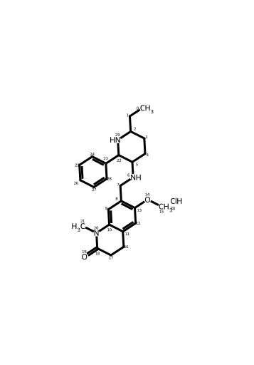 CCC1CCC(NCc2cc3c(cc2OC)CCC(=O)N3C)C(c2ccccc2)N1.Cl